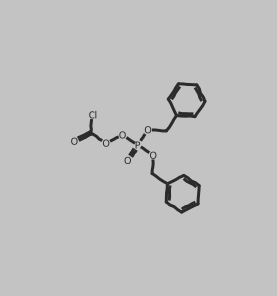 O=C(Cl)OOP(=O)(OCc1ccccc1)OCc1ccccc1